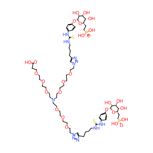 O=C(O)CCOCCOCCOCCN(CCOCCOCCOCCn1cc(CCCCNC(=S)Nc2ccc(O[C@H]3O[C@H](CCP(=O)(O)O)[C@@H](O)[C@H](O)[C@@H]3O)cc2)nn1)CCOCCOCCOCCn1cc(CCCCNC(=S)Nc2ccc(O[C@H]3O[C@H](CCP(=O)(O)O)[C@@H](O)[C@H](O)[C@@H]3O)cc2)nn1